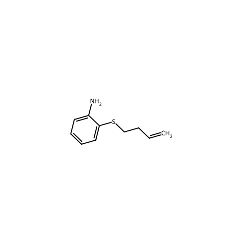 C=CCCSc1ccccc1N